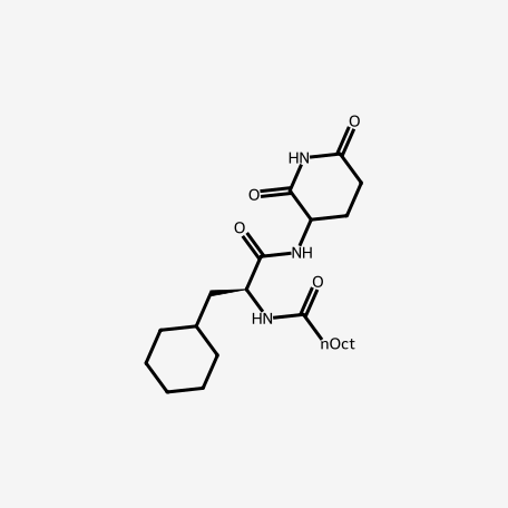 CCCCCCCCC(=O)N[C@@H](CC1CCCCC1)C(=O)NC1CCC(=O)NC1=O